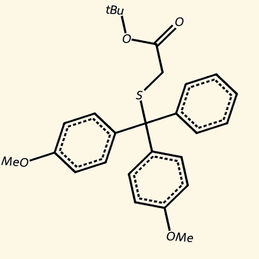 COc1ccc(C(SCC(=O)OC(C)(C)C)(c2ccccc2)c2ccc(OC)cc2)cc1